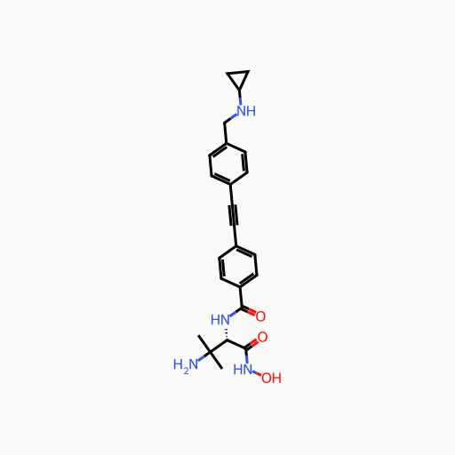 CC(C)(N)[C@H](NC(=O)c1ccc(C#Cc2ccc(CNC3CC3)cc2)cc1)C(=O)NO